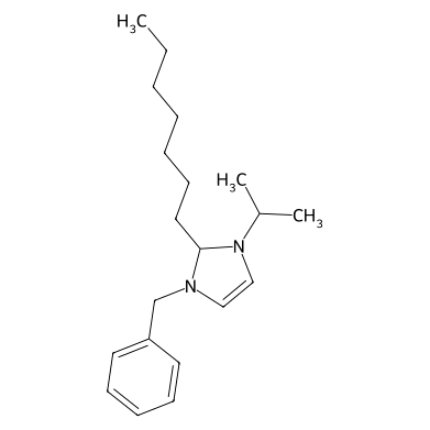 CCCCCCCC1N(Cc2ccccc2)C=CN1C(C)C